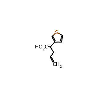 C=CCC(C(=O)O)c1ccsc1